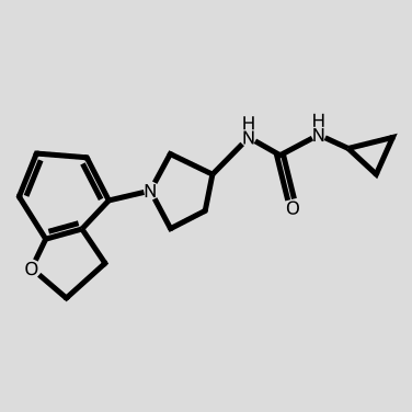 O=C(NC1CC1)NC1CCN(c2cccc3c2CCO3)C1